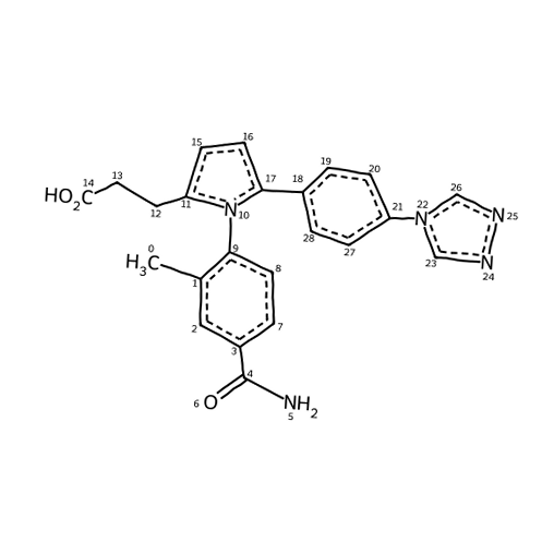 Cc1cc(C(N)=O)ccc1-n1c(CCC(=O)O)ccc1-c1ccc(-n2cnnc2)cc1